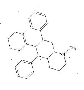 CN1CCCC2C(c3ccccc3)C(C3=NCCCC3)C(c3ccccc3)CC21